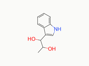 CC(O)C(O)c1c[nH]c2ccccc12